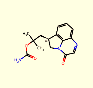 CC(C)(C[C@@H]1Cn2c(=O)cnc3cccc1c32)OC(N)=O